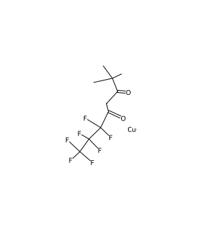 CC(C)(C)C(=O)CC(=O)C(F)(F)C(F)(F)C(F)(F)F.[Cu]